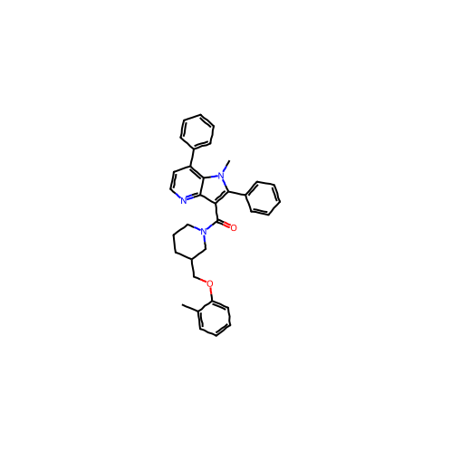 Cc1ccccc1OCC1CCCN(C(=O)c2c(-c3ccccc3)n(C)c3c(-c4ccccc4)ccnc23)C1